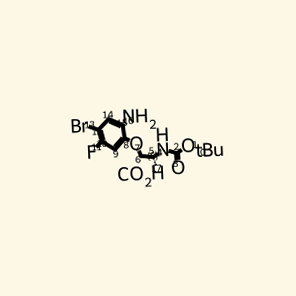 CC(C)(C)OC(=O)N[C@@H](COc1cc(F)c(Br)cc1N)C(=O)O